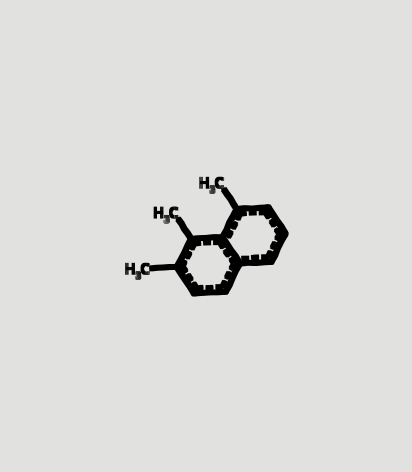 Cc1ccc2cccc(C)c2c1C